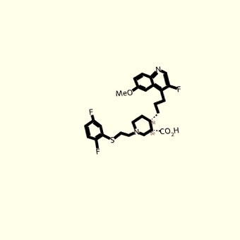 COc1ccc2ncc(F)c(CCC[C@H]3CCN(CCSc4cc(F)ccc4F)C[C@H]3C(=O)O)c2c1